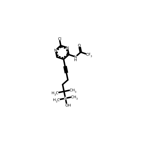 CC(C)(CCC#Cc1cnc(Cl)nc1NC(=O)C(F)(F)F)[Si](C)(C)O